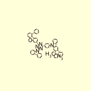 CC1(C)c2ccccc2-c2cc3c4ccccc4n(-c4ccc(-c5nc(-c6ccc7c(c6)oc6cccc(-c8ccccc8)c67)nc(-n6c7ccccc7c7ccccc76)n5)cc4)c3cc21